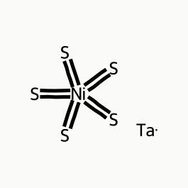 [S]=[Ni](=[S])(=[S])(=[S])=[S].[Ta]